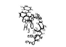 Cc1cccc(CC2CCCCC2)c1-c1nc2nc(c1C)OC[C@@H](CC(C)(C)C)C(Cc1ccc(OC(C)C)cn1)c1cccc(c1)S(=O)(=O)N2